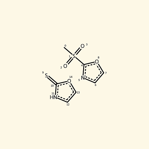 CS(=O)(=O)c1ncco1.S=c1[nH]cco1